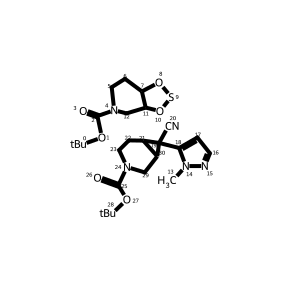 CC(C)(C)OC(=O)N1CCC2OSOC2C1.Cn1nccc1C1(C#N)C2CCN(C(=O)OC(C)(C)C)CC21